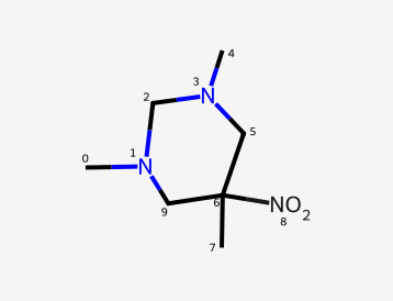 CN1CN(C)CC(C)([N+](=O)[O-])C1